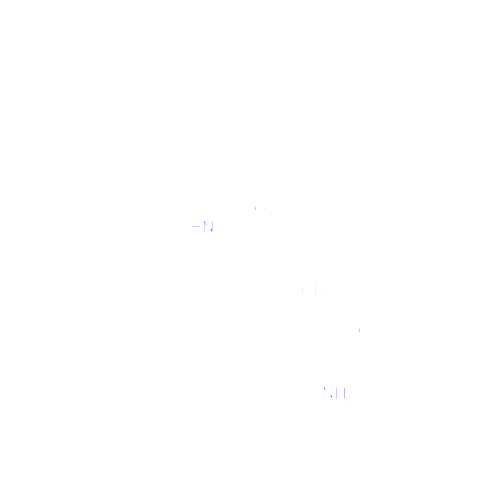 NC(=O)CC(O)c1cccc(NC(=O)c2cccc(Cl)c2)c1